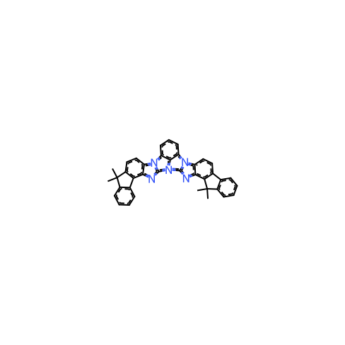 CC1(C)c2ccccc2-c2c1ccc1c2nc2n1c1cccc3c1n2c1nc2c4c(ccc2n31)-c1ccccc1C4(C)C